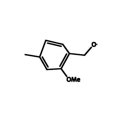 COc1cc(C)ccc1C[O]